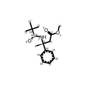 COC(=O)C[C@@](C)(N[S+]([O-])C(C)(C)C)c1ccccc1